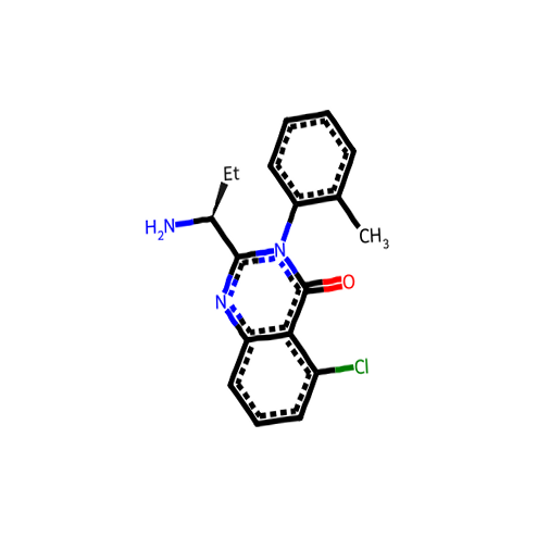 CC[C@H](N)c1nc2cccc(Cl)c2c(=O)n1-c1ccccc1C